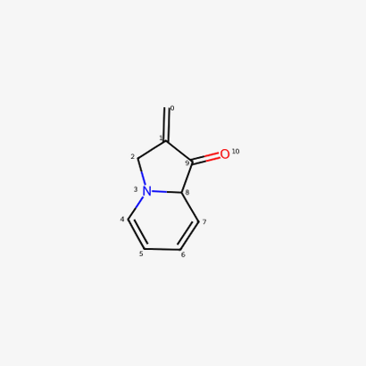 C=C1CN2C=CC=CC2C1=O